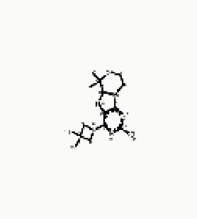 CC1(C)OCCN2c3nc(Cl)nc(N4CC(F)(F)C4)c3NC21